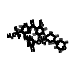 Cc1cc(Nc2nc(Nc3cc(C)c([C@H]4CC[C@H](N5CCOCC5)CC4)cc3F)ncc2C(C)(F)F)n[nH]1